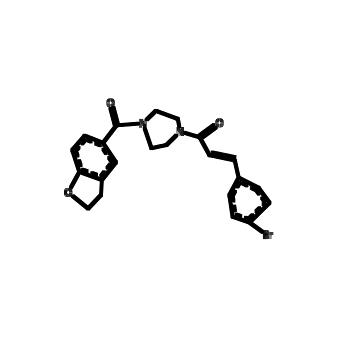 O=C(/C=C/c1ccc(Br)cc1)N1CCN(C(=O)c2ccc3c(c2)CCO3)CC1